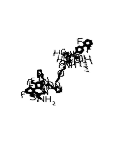 CC(C)(C)[C@H](NC(=O)CCOCCCN1CCCC1COc1nc(N2CC3CCC(C2)N3)c2cc(C(F)(F)F)c(-c3ccc(F)c4sc(N)c(C#N)c34)c(F)c2n1)C(=O)N1C[C@H](O)C[C@H]1C(=O)N[C@@H](CO)c1ccc(-c2c(F)cccc2F)cc1